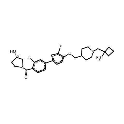 O=C(c1ccc(-c2ccc(OCC3CCN(CC4(C(F)(F)F)CCC4)CC3)c(F)c2)cc1F)N1CC[C@H](O)C1